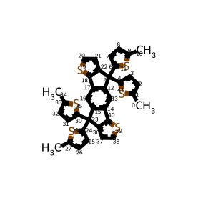 Cc1ccc(C2(c3ccc(C)s3)c3cc4c(cc3-c3sccc32)C(c2ccc(C)s2)(c2ccc(C)s2)c2ccsc2-4)s1